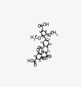 COc1cc(C(=O)O)cc(OC)c1-c1ccc(C[C@@H](C(=O)O)N(C=O)c2c(Cl)cc(C(=O)O)cc2Cl)cc1